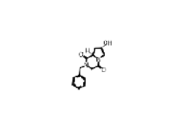 O=C1[C@H]2C[C@H](O)CN2C(=O)CN1Cc1ccccc1